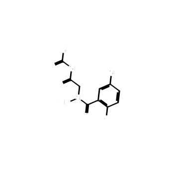 CCCC(=O)NC(=O)CN(C=O)C(=O)c1cc(N)ccc1C